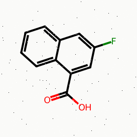 O=C(O)c1cc(F)cc2ccccc12